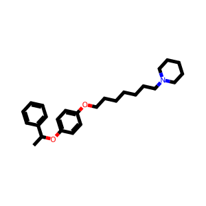 CC(Oc1ccc(OCCCCCCCN2CCCCC2)cc1)c1ccccc1